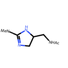 CNC1=NCC(CNC(C)=O)N1